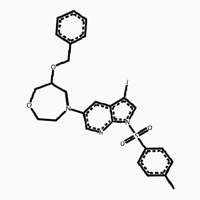 Cc1ccc(S(=O)(=O)n2cc(I)c3cc(N4CCOCC(OCc5ccccc5)C4)cnc32)cc1